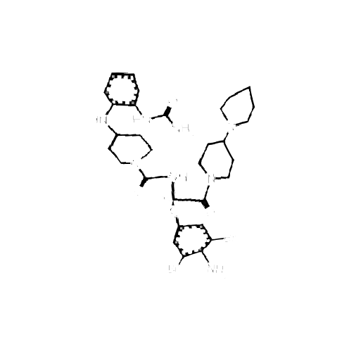 NC(=O)Nc1ccccc1NC1CCN(C(=O)N[C@H](Cc2cc(Br)c(N)c(Br)c2)C(=O)N2CCC(N3CCCCC3)CC2)CC1